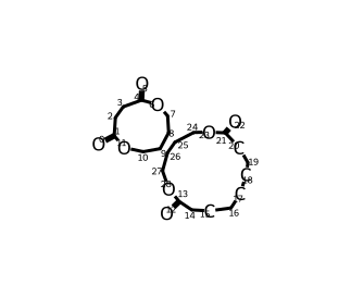 O=C1CCC(=O)OCCCCO1.O=C1CCCCCCCC(=O)OCCCCO1